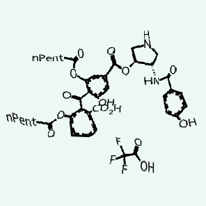 CCCCCC(=O)Oc1cc(C(=O)O[C@H]2CNC[C@@H]2NC(=O)c2ccc(O)cc2)cc(O)c1C(=O)c1c(OC(=O)CCCCC)cccc1C(=O)O.O=C(O)C(F)(F)F